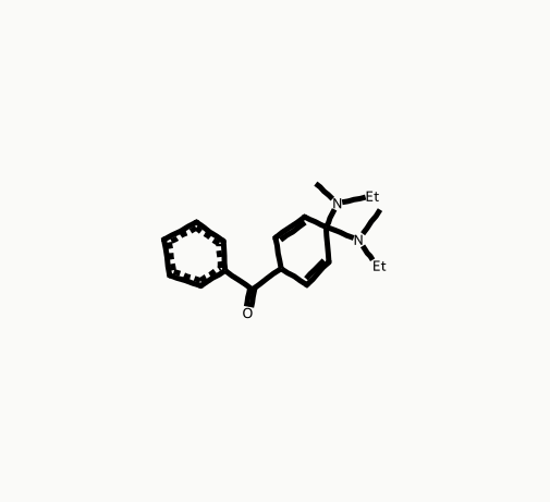 CCN(C)C1(N(C)CC)C=CC(C(=O)c2ccccc2)C=C1